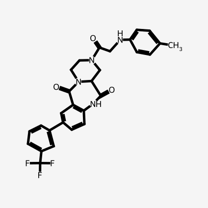 Cc1ccc(NCC(=O)N2CCN3C(=O)c4cc(-c5cccc(C(F)(F)F)c5)ccc4NC(=O)C3C2)cc1